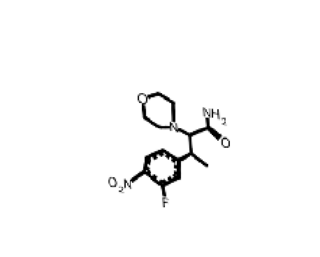 CC(c1ccc([N+](=O)[O-])c(F)c1)C(C(N)=O)N1CCOCC1